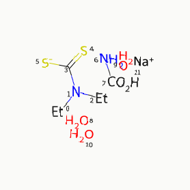 CCN(CC)C(=S)[S-].NC(=O)O.O.O.O.[Na+]